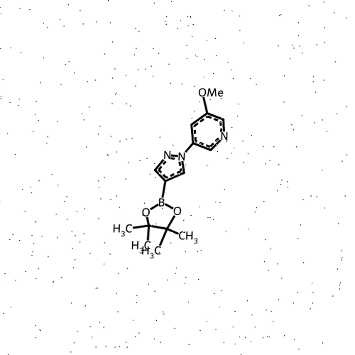 COc1cncc(-n2cc(B3OC(C)(C)C(C)(C)O3)cn2)c1